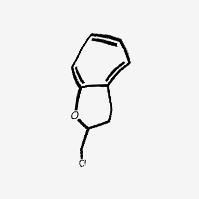 ClC1Cc2ccccc2O1